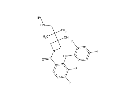 CC(C)NCC(C)(C)C1(O)CN(C(=O)c2ccc(F)c(F)c2Nc2ccc(I)cc2F)C1